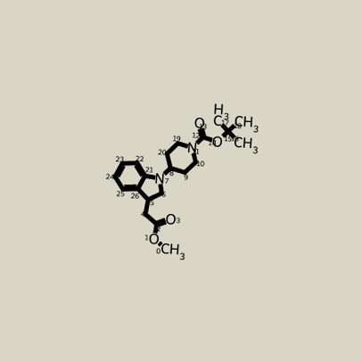 COC(=O)CC1CN(C2CCN(C(=O)OC(C)(C)C)CC2)c2ccccc21